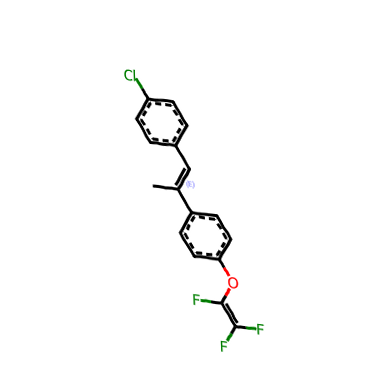 C/C(=C\c1ccc(Cl)cc1)c1ccc(OC(F)=C(F)F)cc1